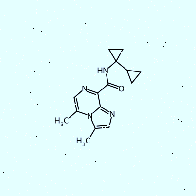 Cc1cnc(C(=O)NC2(C3CC3)CC2)c2ncc(C)n12